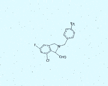 CCc1ccc(CN2Cc3cc(F)cc(Cl)c3C2C=O)cc1